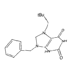 CC(C)(C)CN1CN(Cc2ccccc2)c2[nH]c(=O)[nH]c(=O)c21